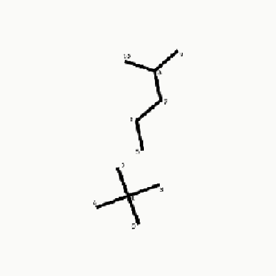 CC(C)(C)C.CCCC(C)C